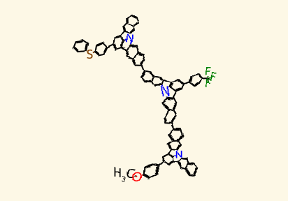 COc1ccc(-c2cc3c4cc5ccccc5cc4n4c5cc6ccc(-c7ccc8cc9c(cc8c7)c7cc(-c8ccc(C(F)(F)F)cc8)cc8c%10cc%11cc(-c%12ccc%13cc%14c(cc%13c%12)c%12cc(-c%13ccc(Sc%15ccccc%15)cc%13)cc%13c%15cc%16ccccc%16cc%15n%14c%13%12)ccc%11cc%10n9c78)cc6cc5c(c2)c34)cc1